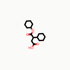 O=C(O)CC(C(=O)OC1CCCCC1)C1CCCCC1